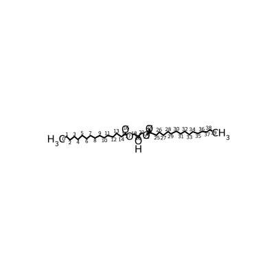 CCCCCCCCCCCCCCCC(=O)OCC(O)COC(=O)CCCCCCCCCCCCCCC